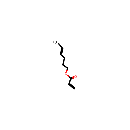 C=CC(=O)OCCCC=CC(F)(F)F